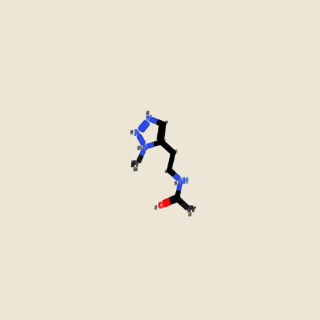 CC(C)C(=O)NCCc1cnnn1C(C)C